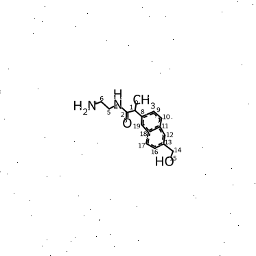 CC(C(=O)NCCN)c1ccc2cc(CO)ccc2c1